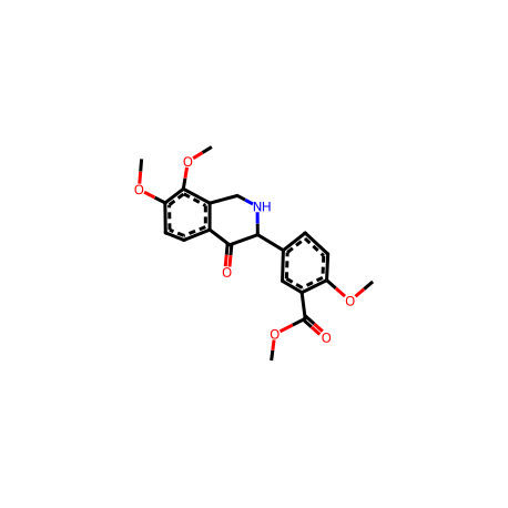 COC(=O)c1cc(C2NCc3c(ccc(OC)c3OC)C2=O)ccc1OC